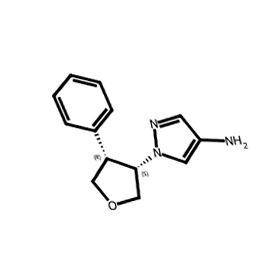 Nc1cnn([C@@H]2COC[C@@H]2c2ccccc2)c1